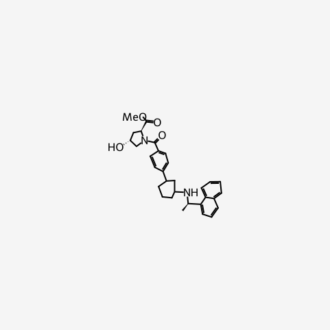 COC(=O)[C@@H]1C[C@@H](O)CN1C(=O)c1ccc(C2CCCC(N[C@H](C)c3cccc4ccccc34)C2)cc1